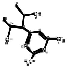 CC(O)C(c1cc(C(F)(F)F)nc(C(F)(F)F)n1)C(C)O